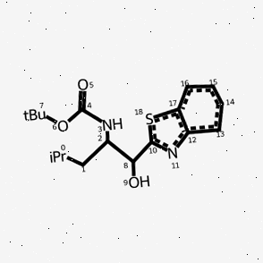 CC(C)CC(NC(=O)OC(C)(C)C)C(O)c1nc2ccccc2s1